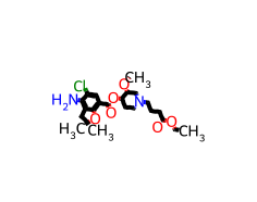 CCOC(=O)CCCN1CCC(OC(=O)c2cc(Cl)c(N)c3c2OC(C)(C)C3)C(OC)C1